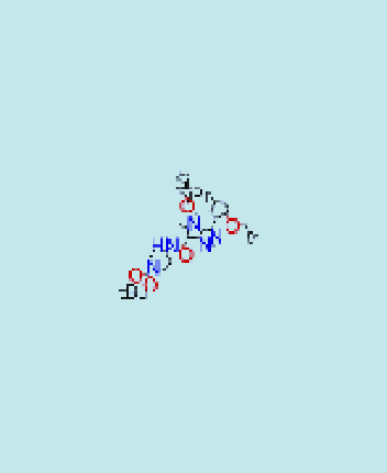 Cc1c(C(=O)NC2CCN(C(=O)OC(C)(C)C)CC2)c2ncnc(-c3cc(C(C)C)ccc3OCC3CC3)c2n1COCC[Si](C)(C)C